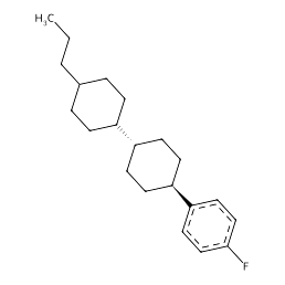 CCCC1CCC([C@H]2CC[C@H](c3ccc(F)cc3)CC2)CC1